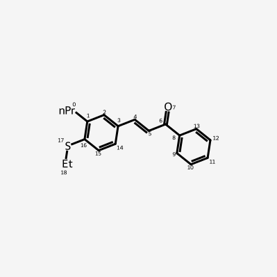 CCCc1cc(C=CC(=O)c2ccccc2)ccc1SCC